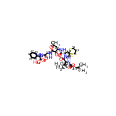 CCCC(NC(=O)[C@@H]1CC2(CN1C(=O)[C@@H](NC(=O)OCC(C)C)C(C)(C)C)SCCCS2)C(=O)C(=O)NCC(=O)NC(C(=O)O)c1ccccc1